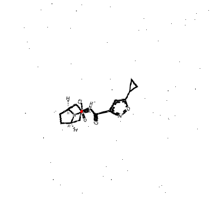 O=C(NC1C[C@H]2CC[C@@H](C1)N2S(=O)(=O)Cl)c1cc(C2CC2)on1